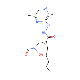 CCCCC[C@@H](CN(O)C=O)C(=O)NNc1nc(C)cnc1C